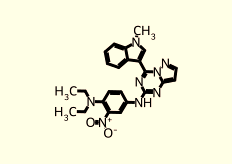 CCN(CC)c1ccc(Nc2nc(-c3cn(C)c4ccccc34)n3nccc3n2)cc1[N+](=O)[O-]